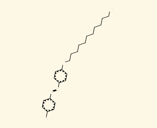 CCCCc1ccc(N=Nc2ccc(OCCCCCCCCCCCO)cc2)cc1